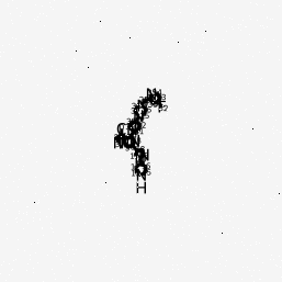 N#Cc1cnn2cc(-c3cnn(C4CCNCC4)c3)nc(-c3ccc(N4CCN(Cc5cc(F)ccn5)CC4)cc3)c12